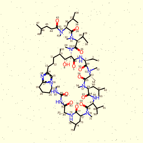 CC[C@H](NC(=O)[C@H]([C@H](O)[C@H](C)CCCc1cn2c(n1)CCCC2)N(C)C(=O)[C@H](C(C)C)N(C)C(=O)[C@H](CC(C)C)N(C)C(=O)CCC(C)C)C(=O)N(C)[C@H](C)C(=O)N(C)[C@@H](CC(C)C)C(=O)N[C@H](C(=O)N(C)[C@@H](CC(C)C)C(=O)N[C@H](C)C(=O)NC(=O)NC)C(C)C